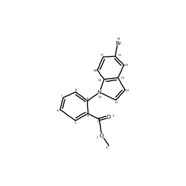 COC(=O)c1ccccc1-n1ccc2cc(Br)ccc21